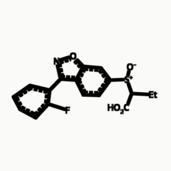 CCC(C(=O)O)[S+]([O-])c1ccc2c(-c3ccccc3F)noc2c1